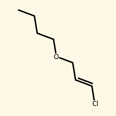 CCCCOCC=CCl